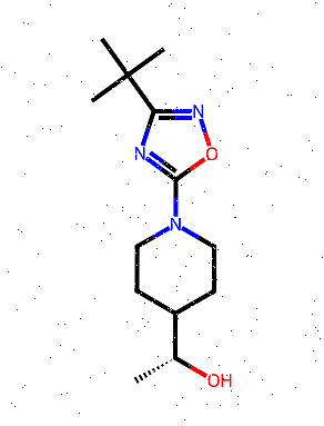 C[C@@H](O)C1CCN(c2nc(C(C)(C)C)no2)CC1